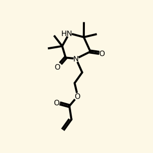 C=CC(=O)OCCN1C(=O)C(C)(C)NC(C)(C)C1=O